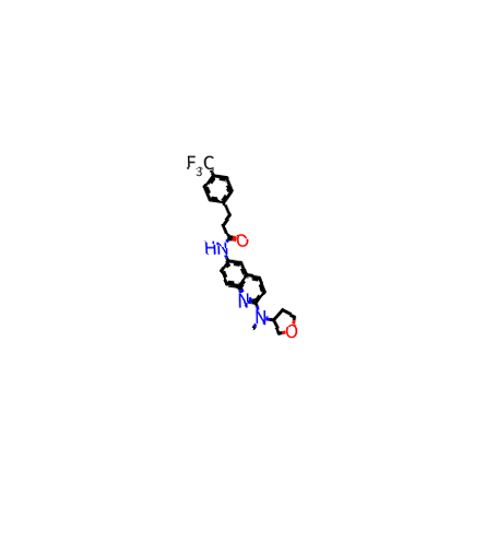 CN(c1ccc2cc(NC(=O)CCc3ccc(C(F)(F)F)cc3)ccc2n1)C1CCOC1